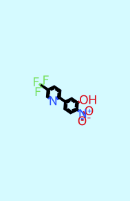 O=[N+]([O-])c1ccc(-c2ccc(C(F)(F)F)cn2)cc1O